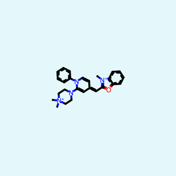 C[n+]1c(C=C2C=CN(c3ccccc3)C(N3CC[N+](C)(C)CC3)=C2)oc2ccccc21